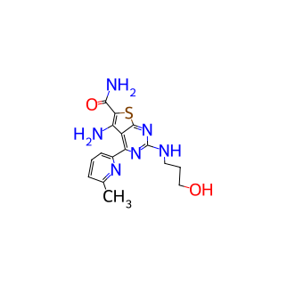 Cc1cccc(-c2nc(NCCCO)nc3sc(C(N)=O)c(N)c23)n1